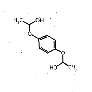 CC(O)Oc1[c]cc(OC(C)O)cc1